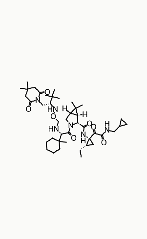 CC[C@H]1C[C@]1(NC(=O)[C@@H]1[C@@H]2[C@H](CN1C(=O)[C@@H](NCON[C@H](CN1C(=O)CC(C)(C)CC1=O)C(C)(C)C)C1(C)CCCCC1)C2(C)C)C(=O)C(=O)NCC1CC1